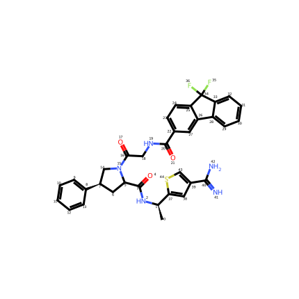 C[C@@H](NC(=O)C1C[C@@H](c2ccccc2)CN1C(=O)CNC(=O)c1ccc2c(c1)-c1ccccc1C2(F)F)c1cc(C(=N)N)cs1